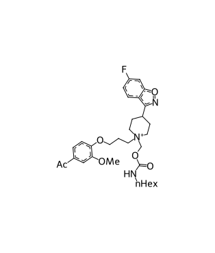 CCCCCCNC(=O)OC[N+]1(CCCOc2ccc(C(C)=O)cc2OC)CCC(c2noc3cc(F)ccc23)CC1